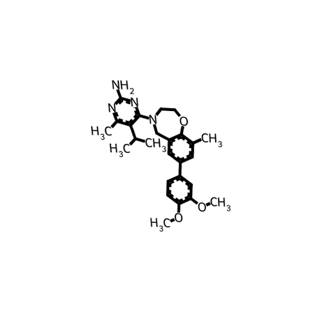 COc1ccc(-c2cc(C)c3c(c2)CN(c2nc(N)nc(C)c2C(C)C)CCO3)cc1OC